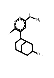 CC1CC2CCC(c3cc(NN)nnc3Cl)C(C1)C2